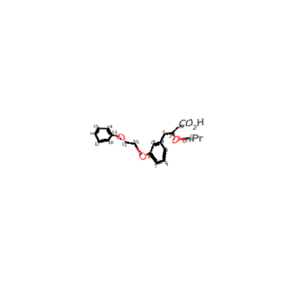 CC(C)OC(Cc1cccc(OCCOc2ccccc2)c1)C(=O)O